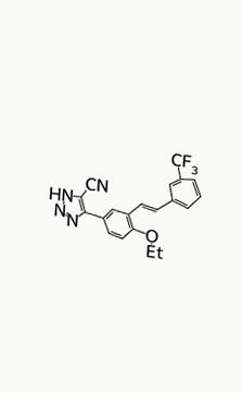 CCOc1ccc(-c2nn[nH]c2C#N)cc1/C=C/c1cccc(C(F)(F)F)c1